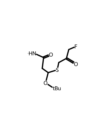 CC(C)(C)OC(CC([NH])=O)SCC(=O)CF